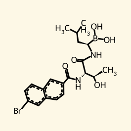 CC(C)C[C@H](NC(=O)[C@@H](NC(=O)c1ccc2cc(Br)ccc2c1)[C@@H](C)O)B(O)O